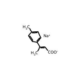 CC(=CC(=O)[O-])c1ccc(C)cc1.[Na+]